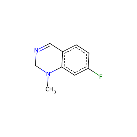 CN1CN=Cc2ccc(F)cc21